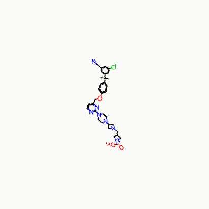 CC(C)(c1ccc(OCc2ccnc(N3CCN(C4CN(CC5CN(C(=O)O)C5)C4)CC3)n2)cc1)c1cc(Cl)cc(C#N)c1